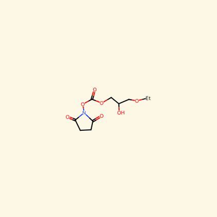 CCOCC(O)COC(=O)ON1C(=O)CCC1=O